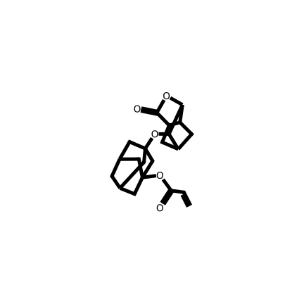 C=CC(=O)OC12CC3CC(C1)CC(OC1C4CC5C(=O)OC1C5C4)(C3)C2